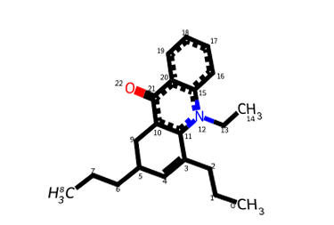 CCCC1=CC(CCC)Cc2c1n(CC)c1ccccc1c2=O